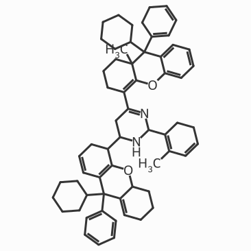 CC1=C(C2N=C(C3=C4Oc5ccccc5C(C5=CC=CCC5)(C5CCCCC5)C4(C)CCC3)CC(C3CC=CC4=C3OC3CCCC=C3C4(c3ccccc3)C3CCCCC3)N2)CCC=C1